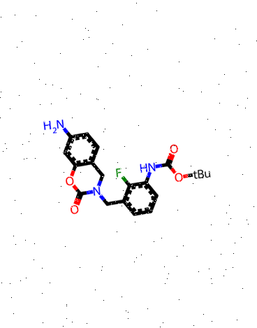 CC(C)(C)OC(=O)Nc1cccc(CN2Cc3ccc(N)cc3OC2=O)c1F